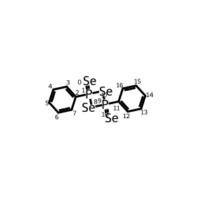 [Se]=P1(c2ccccc2)[Se]P(=[Se])(c2ccccc2)[Se]1